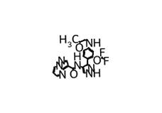 CC1CNc2cc(OC(F)F)c(-c3n[nH]cc3NC(=O)c3cnn4cccnc34)cc2O1